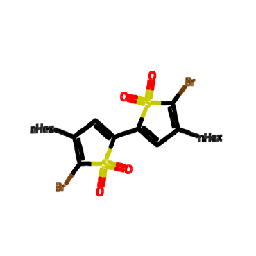 CCCCCCC1=C(Br)S(=O)(=O)C(C2=CC(CCCCCC)=C(Br)S2(=O)=O)=C1